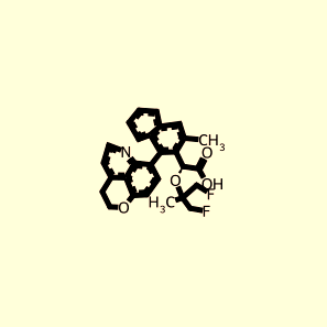 Cc1cc2ccccc2c(-c2ccc3c4c(ccnc24)CCO3)c1[C@@H](OC(C)(CF)CF)C(=O)O